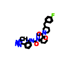 Cn1nnnc1-c1cccc(NC(=O)N[C@@H]2CCCO[C@@H]2C(=O)N2CCCC(Cc3ccc(F)cc3)C2)c1